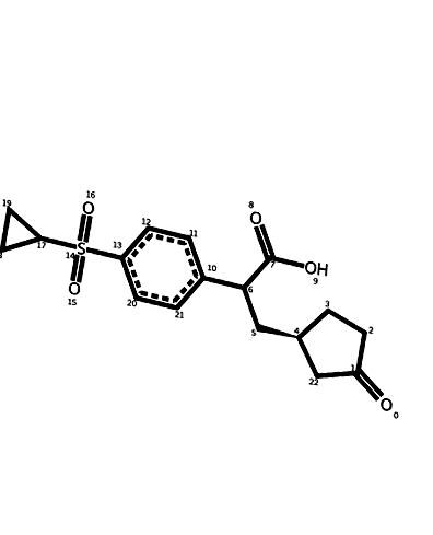 O=C1CC[C@H](CC(C(=O)O)c2ccc(S(=O)(=O)C3CC3)cc2)C1